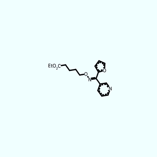 CCOC(=O)CCCCON=C(c1cccnc1)c1ccco1